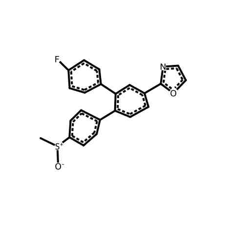 C[S+]([O-])c1ccc(-c2ccc(-c3ncco3)cc2-c2ccc(F)cc2)cc1